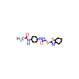 CC(=O)Nc1ccc(NC(=O)CSc2nc3ccccc3s2)cc1